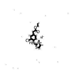 CCOC(=O)Cc1ccc(Nc2scc[n+]2C)c(Cl)c1.[I-]